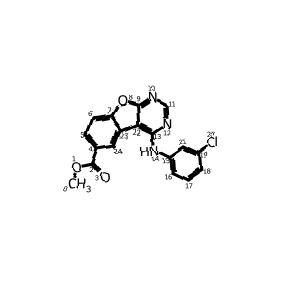 COC(=O)c1ccc2oc3ncnc(Nc4cccc(Cl)c4)c3c2c1